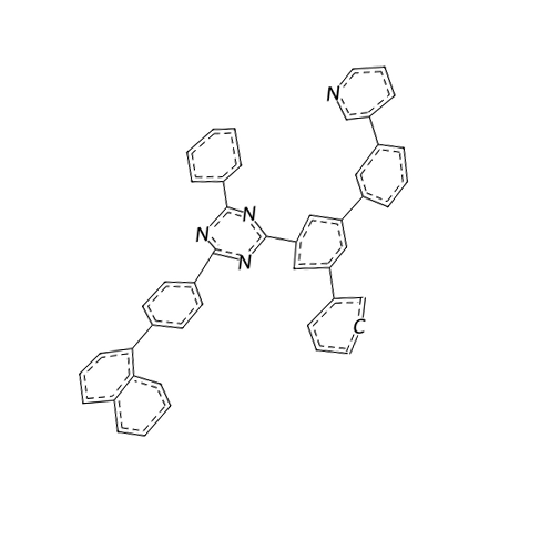 c1ccc(-c2cc(-c3cccc(-c4cccnc4)c3)cc(-c3nc(-c4ccccc4)nc(-c4ccc(-c5cccc6ccccc56)cc4)n3)c2)cc1